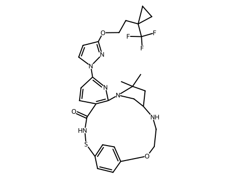 CC1(C)CC2CN1c1nc(-n3ccc(OCCC4(C(F)(F)F)CC4)n3)ccc1C(=O)NSc1ccc(cc1)OCCN2